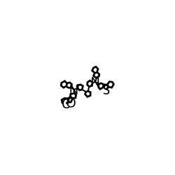 c1cc(-c2ccccc2-c2cccc(N(c3ccc4ccccc4c3)c3ccc4sc5ccccc5c4c3)c2)cc(N(c2ccc3ccccc3c2)c2ccc3oc4ccccc4c3c2)c1